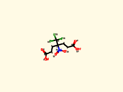 O=C(O)CCC(CCC(=O)O)([N+](=O)[O-])C(F)(F)F